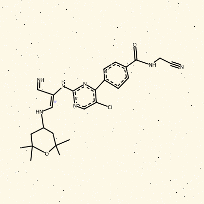 CC1(C)CC(N/C=C(\C=N)Nc2ncc(Cl)c(-c3ccc(C(=O)NCC#N)cc3)n2)CC(C)(C)O1